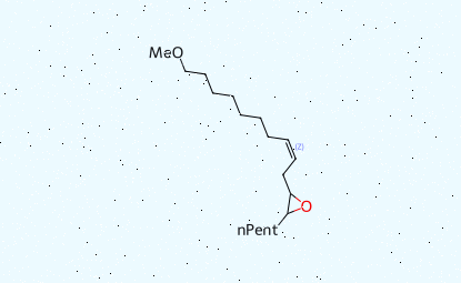 CCCCCC1OC1C/C=C\CCCCCCCOC